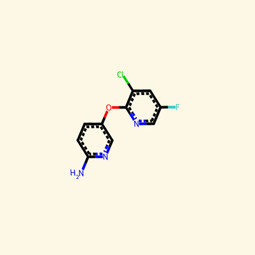 Nc1ccc(Oc2ncc(F)cc2Cl)cn1